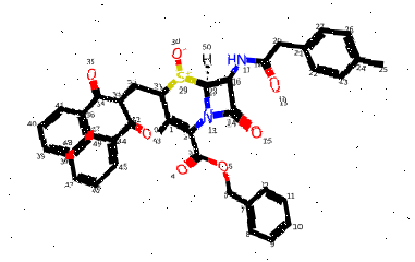 CC1=C(C(=O)OCc2ccccc2)N2C(=O)C(NC(=O)Cc3ccc(C)cc3)[C@@H]2[S+]([O-])C1CC(C(=O)c1ccccc1)C(=O)c1ccccc1